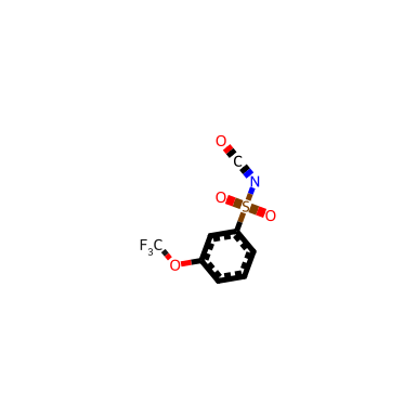 O=C=NS(=O)(=O)c1cccc(OC(F)(F)F)c1